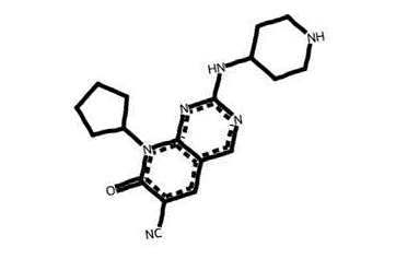 N#Cc1cc2cnc(NC3CCNCC3)nc2n(C2CCCC2)c1=O